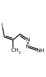 CC(/C=N\N=N)=C/I